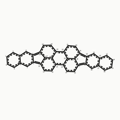 c1ccc2cc3c(cc2c1)=c1ccc2c4ccc5c6c(ccc(c7ccc=3c1c27)c64)=c1cc2ccccc2cc1=5